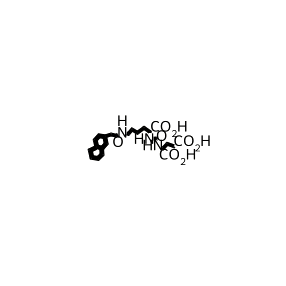 O=C(O)CC[C@H](NC(=O)N[C@@H](CCCCNC(=O)Cc1ccc2ccccc2c1)C(=O)O)C(=O)O